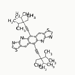 CCC(C#Cc1c2cc3scnc3nc2c(C#CC(CC)(C(C)C)C(C)C)c2cc3scnc3nc12)(C(C)C)C(C)C